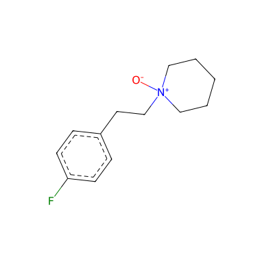 [O-][N+]1(CCc2ccc(F)cc2)CCCCC1